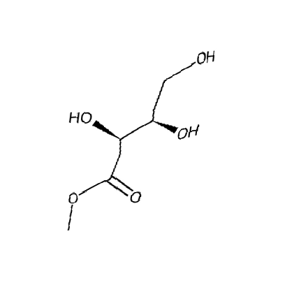 COC(=O)[C@@H](O)[C@H](O)CO